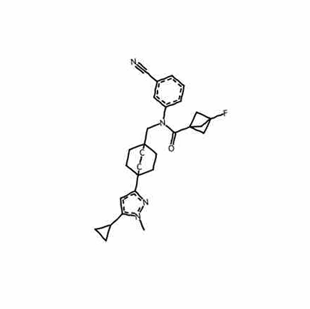 Cn1nc(C23CCC(CN(C(=O)C45CC(F)(C4)C5)c4cccc(C#N)c4)(CC2)CC3)cc1C1CC1